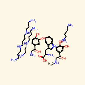 CNC[C@H](O)c1ccc(O)c(O)c1.NC(Cc1c[nH]c2ccccc12)C(=O)O.NCCCCN.NCCCCNCCCN.NCCCNCCCCNCCCN.NC[C@H](O)c1ccc(O)c(O)c1